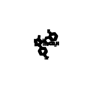 Cc1nnn(-c2ccc(Br)cc2)c1[C@@H](Cc1ccccc1F)NC(=O)O